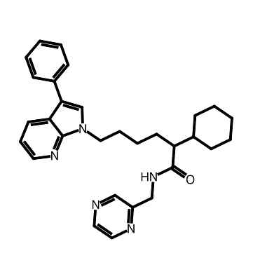 O=C(NCc1cnccn1)C(CCCCn1cc(-c2ccccc2)c2cccnc21)C1CCCCC1